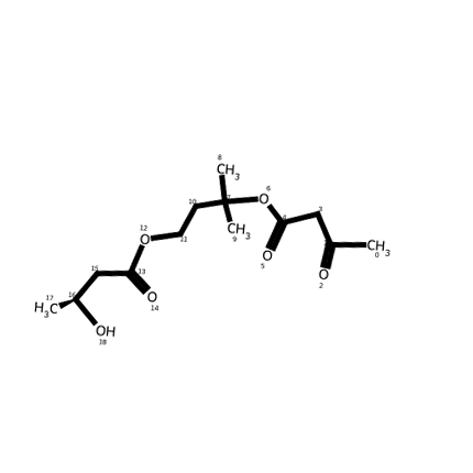 CC(=O)CC(=O)OC(C)(C)CCOC(=O)C[C@H](C)O